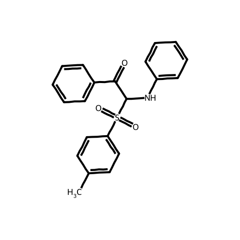 Cc1ccc(S(=O)(=O)C(Nc2ccccc2)C(=O)c2ccccc2)cc1